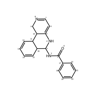 O=C(NC1NC2=CC=NCC2C2C=CC=CC12)c1ccccc1